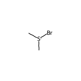 C[S](C)Br